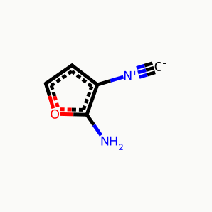 [C-]#[N+]c1ccoc1N